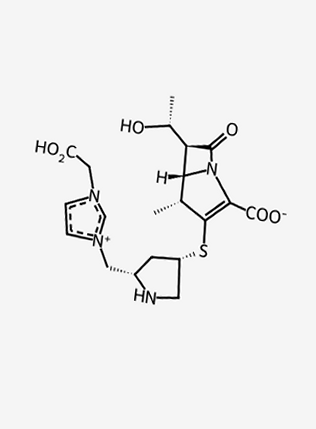 C[C@@H](O)[C@H]1C(=O)N2C(C(=O)[O-])=C(S[C@@H]3CN[C@H](C[n+]4ccn(CC(=O)O)c4)C3)[C@H](C)[C@H]12